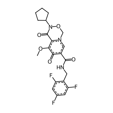 COc1c2n(cc(C(=O)NCc3c(F)cc(F)cc3F)c1=O)CON(C1CCCC1)C2=O